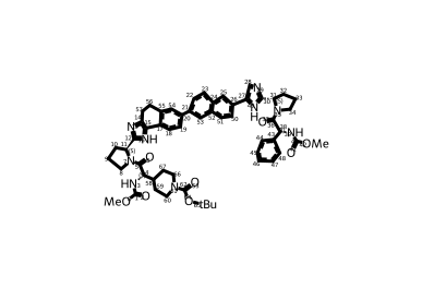 COC(=O)N[C@H](C(=O)N1CCC[C@H]1c1nc2c([nH]1)-c1ccc(-c3ccc4cc(-c5cnc([C@@H]6CCCN6C(=O)[C@H](NC(=O)OC)c6ccccc6)[nH]5)ccc4c3)cc1CC2)C1CCN(C(=O)OC(C)(C)C)CC1